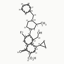 CC1CN(c2c(F)cc3c(=O)c(C(=O)O)cn(C4CC4)c3c2CO)CCN1Cc1ccccc1